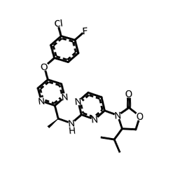 CC(C)C1COC(=O)N1c1ccnc(N[C@@H](C)c2ncc(Oc3ccc(F)c(Cl)c3)cn2)n1